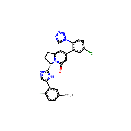 O=C(O)c1ccc(F)c(-c2cnc([C@@H]3CCc4cc(-c5cc(Cl)ccc5-n5cnnn5)cc(=O)n43)[nH]2)c1